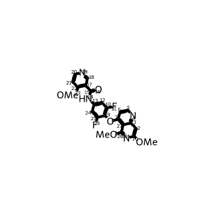 COc1cc2nccc(Oc3c(F)cc(NC(=O)c4cnccc4OC)cc3F)c2c(OC)n1